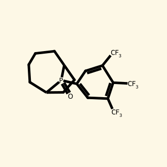 O=P1(c2cc(C(F)(F)F)c(C(F)(F)F)c(C(F)(F)F)c2)C2CCCCC1CC2